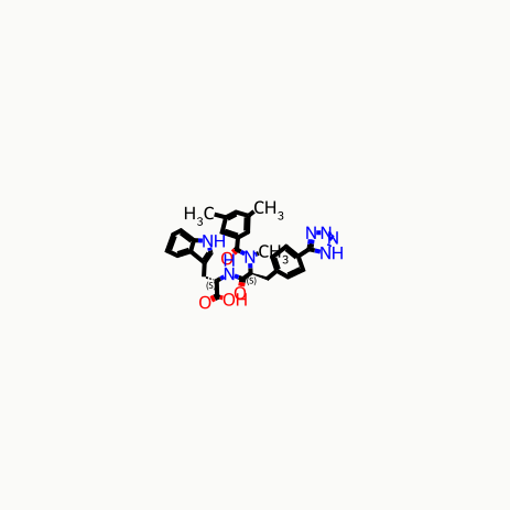 Cc1cc(C)cc(C(=O)N(C)[C@@H](Cc2ccc(-c3nnn[nH]3)cc2)C(=O)N[C@@H](Cc2c[nH]c3ccccc23)C(=O)O)c1